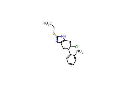 O=C(O)CSc1nc2cc(-c3ccccc3[N+](=O)[O-])c(Cl)cc2[nH]1